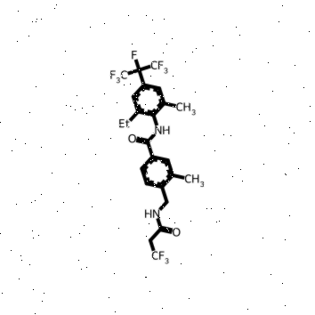 CCc1cc(C(F)(C(F)(F)F)C(F)(F)F)cc(C)c1NC(=O)c1ccc(CNC(=O)CC(F)(F)F)c(C)c1